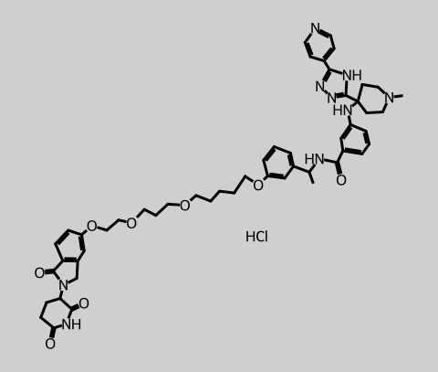 CC(NC(=O)c1cccc(NC2(c3nnc(-c4ccncc4)[nH]3)CCN(C)CC2)c1)c1cccc(OCCCCCOCCCOCCOc2ccc3c(c2)CN(C2CCC(=O)NC2=O)C3=O)c1.Cl